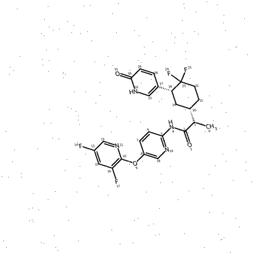 CC(C(=O)Nc1ccc(Oc2ncc(F)cc2F)cn1)[C@H]1CCC(F)(F)[C@@H](c2ccc(=O)[nH]c2)C1